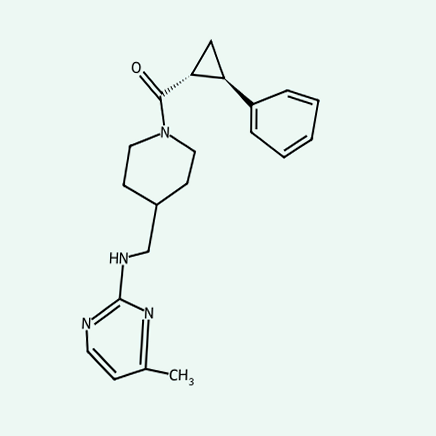 Cc1ccnc(NCC2CCN(C(=O)[C@@H]3C[C@H]3c3ccccc3)CC2)n1